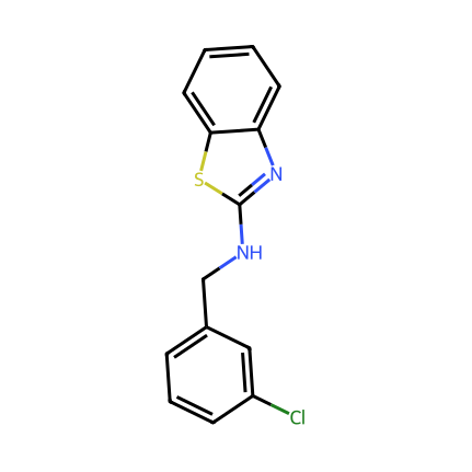 Clc1cccc(CNc2nc3ccccc3s2)c1